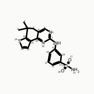 CC1(C)Cc2cnc(Nc3cccc(S(N)(=O)=O)c3)nc2-c2ccsc21